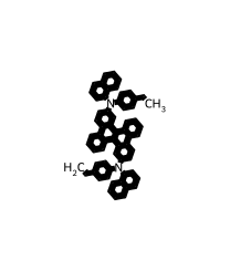 C=Cc1ccc(N(c2ccc3c4ccccc4c4c5cc(N(c6ccc(CC)cc6)c6cccc7ccccc67)ccc5c5ccccc5c4c3c2)c2cccc3ccccc23)cc1